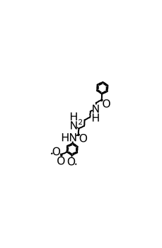 COC(=O)c1cc(NC(=O)[C@@H](N)CCCCNCC(=O)c2ccccc2)ccc1OC